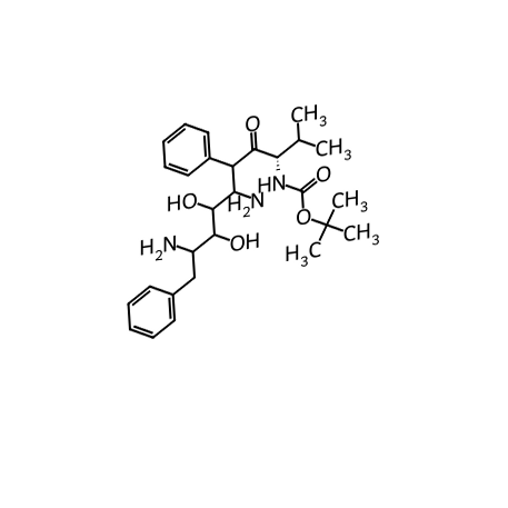 CC(C)[C@H](NC(=O)OC(C)(C)C)C(=O)C(c1ccccc1)C(N)C(O)C(O)C(N)Cc1ccccc1